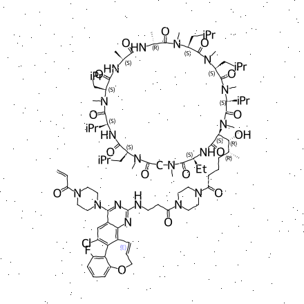 C=CC(=O)N1CCN(c2nc(NCCC(=O)N3CCN(C(=O)CCC[C@@H](C)[C@@H](O)[C@H]4C(=O)N[C@@H](CC)C(=O)N(C)CC(=O)N(C)[C@@H](CC(C)C)C(=O)N[C@@H](C(C)C)C(=O)N(C)[C@@H](CC(C)C)C(=O)N[C@@H](C)C(=O)N[C@H](C)C(=O)N(C)[C@@H](CC(C)C)C(=O)N(C)[C@@H](CC(C)C)C(=O)N(C)[C@@H](C(C)C)C(=O)N4C)CC3)nc3c4c(c(Cl)cc23)-c2c(F)cccc2OC/C=C/4)CC1